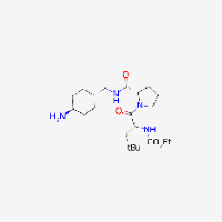 CCOC(=O)N[C@H](CC(C)(C)C)C(=O)N1CCC[C@H]1C(=O)NC[C@H]1CC[C@H](N)CC1